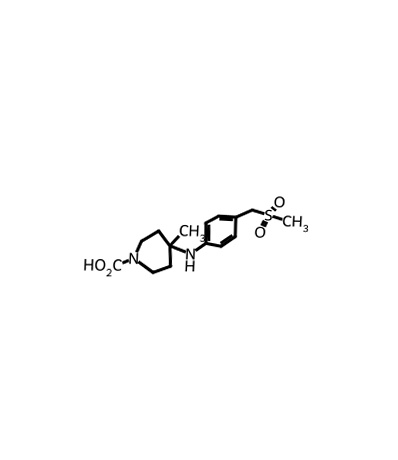 CC1(Nc2ccc(CS(C)(=O)=O)cc2)CCN(C(=O)O)CC1